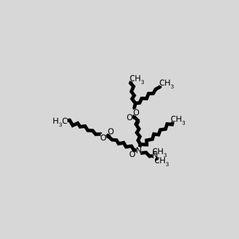 CCCCCCCCCCOC(=O)CCCCCCC(=O)N(CCCN(C)C)C(CCCCC=CC(=O)OCC(CCCCCC)CCCCCCCC)CCCCCCCCCC